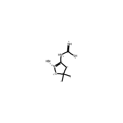 Br.CC1(C)CC(NC(=N)S)=NO1